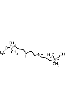 CO[Si](C)(C)CCCNCCNCCC[Si](C)(C)OC